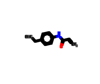 C=CC(=O)Nc1ccc(CC=O)cc1